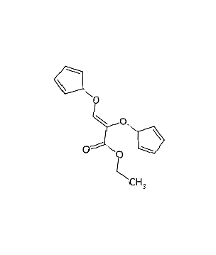 CCOC(=O)C(=COC1C=CC=C1)OC1C=CC=C1